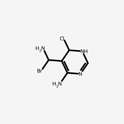 NC1=C(C(N)Br)C(Cl)NC=N1